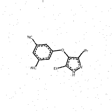 CCc1[nH]nc(C(C)C)c1Oc1cc(C#N)cc(C#N)c1